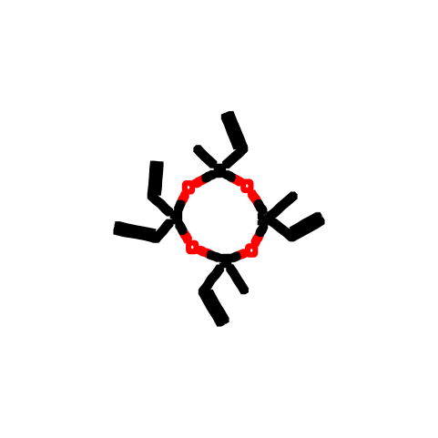 C=C[Si]1(C)O[Si](C)(C=C)O[Si](C=C)(C=C)O[Si](C)(C=C)O1